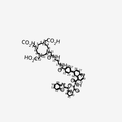 O=C(O)CN1CCN(CC(=O)O)CCN(CC(=O)NCCCNC(=O)c2ccc(-c3ccc4nccc(C(=O)NCC(=O)N5CCC[C@H]5C(=O)c5nc6ccccc6o5)c4c3)cc2)CCN(CC(=O)O)CC1